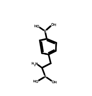 NC(Cc1ccc(B(O)O)cc1)B(O)O